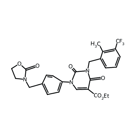 CCOC(=O)c1cn(-c2ccc(CN3CCOC3=O)cc2)c(=O)n(Cc2cccc(C(F)(F)F)c2C)c1=O